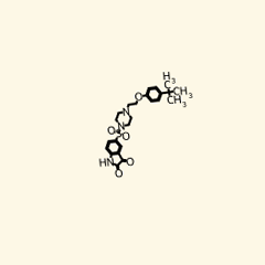 CC(C)(C)c1ccc(OCCN2CCN(S(=O)(=O)c3ccc4c(c3)C(=O)C(=O)N4)CC2)cc1